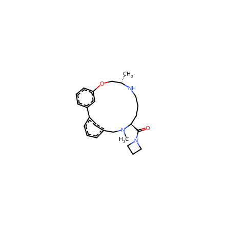 C[C@H]1COc2cccc(c2)-c2cccc(c2)CN(C)[C@H](C(=O)N2CCC2)CCCN1